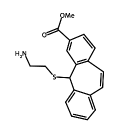 COC(=O)c1ccc2c(c1)C(SCCN)c1ccccc1C=C2